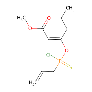 C=CCP(=S)(Cl)OC(=CC(=O)OC)CCC